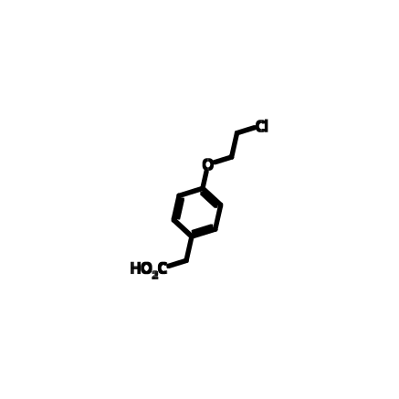 O=C(O)Cc1ccc(OCCCl)cc1